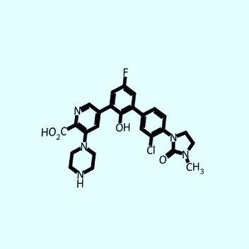 CN1CCN(c2ccc(-c3cc(F)cc(-c4cnc(C(=O)O)c(N5CCNCC5)c4)c3O)cc2Cl)C1=O